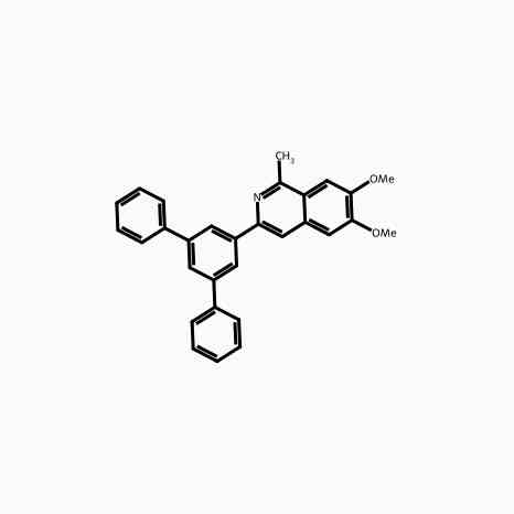 COc1cc2cc(-c3cc(-c4ccccc4)cc(-c4ccccc4)c3)nc(C)c2cc1OC